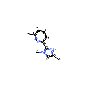 Cc1cccc(-c2nc(C)cn2C)n1